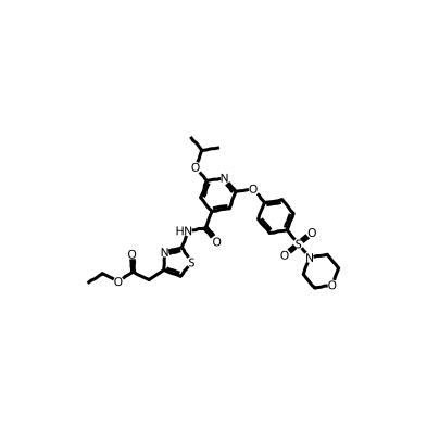 CCOC(=O)Cc1csc(NC(=O)c2cc(Oc3ccc(S(=O)(=O)N4CCOCC4)cc3)nc(OC(C)C)c2)n1